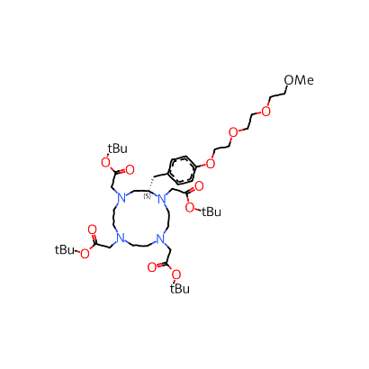 COCCOCCOCCOc1ccc(C[C@H]2CN(CC(=O)OC(C)(C)C)CCN(CC(=O)OC(C)(C)C)CCN(CC(=O)OC(C)(C)C)CCN2CC(=O)OC(C)(C)C)cc1